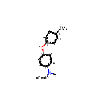 CCCCCN(C)c1ccc(Oc2ccc(OC)cc2)cc1